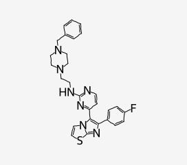 Fc1ccc(-c2nc3sccn3c2-c2ccnc(NCCN3CCN(Cc4ccccc4)CC3)n2)cc1